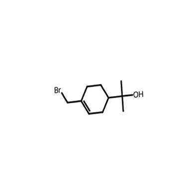 CC(C)(O)C1CC=C(CBr)CC1